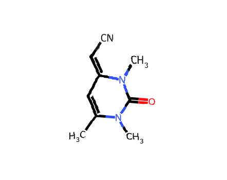 CC1=CC(=CC#N)N(C)C(=O)N1C